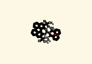 CCS(C)(CC)c1cc2ccccc2c2c1op(N([C@H](C)c1ccccc1)[C@H](C)c1ccccc1)oc1c(S(C)(CC)CC)cc3ccccc3c12